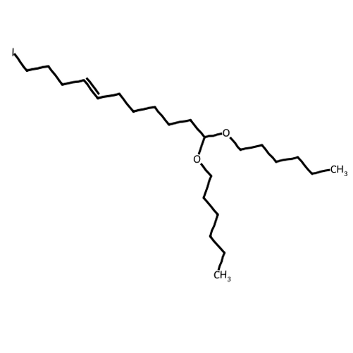 CCCCCCOC(CCCCC/C=C/CCCI)OCCCCCC